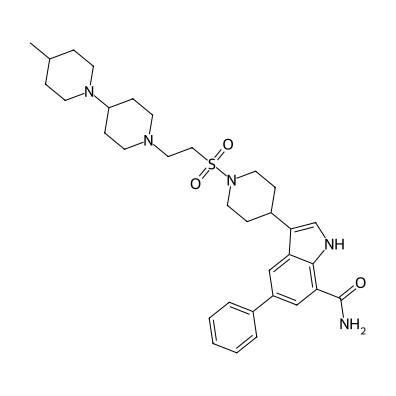 CC1CCN(C2CCN(CCS(=O)(=O)N3CCC(c4c[nH]c5c(C(N)=O)cc(-c6ccccc6)cc45)CC3)CC2)CC1